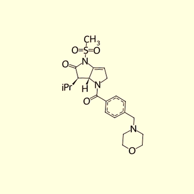 CC(C)[C@H]1C(=O)N(S(C)(=O)=O)C2=CCN(C(=O)c3ccc(CN4CCOCC4)cc3)[C@@H]21